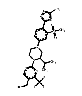 Cc1nnc(-c2ccc(N3CCN(c4ncc(CO)c(C(F)(F)F)n4)C(C(C)C)C3)cc2S(C)(=O)=O)s1